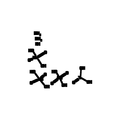 [BiH3].[BiH3].[KH].[O]=[Mn](=[O])([OH])[OH].[O]=[Mn](=[O])([OH])[OH].[O]=[Mn](=[O])([OH])[OH].[O]=[Ti]([OH])[OH]